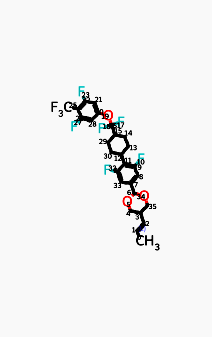 C/C=C/C1COC(c2cc(F)c(C3CCC(C(F)(F)Oc4cc(F)c(C(F)(F)F)c(F)c4)CC3)c(F)c2)OC1